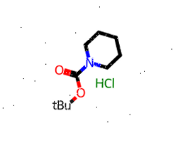 CC(C)(C)OC(=O)N1CCCCC1.Cl